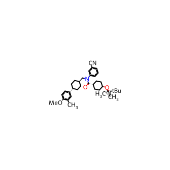 COc1ccc([C@H]2CC[C@H](CN(c3cccc(C#N)c3)C(=O)[C@H]3CC[C@H](O[Si](C)(C)C(C)(C)C)CC3)CC2)cc1C